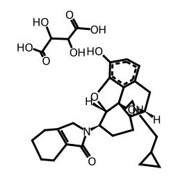 O=C(O)C(O)C(O)C(=O)O.O=C1C2=C(CCCC2)CN1[C@@H]1CC[C@@]2(O)[C@H]3Cc4ccc(O)c5c4[C@@]2(CCN3CC2CC2)[C@H]1O5